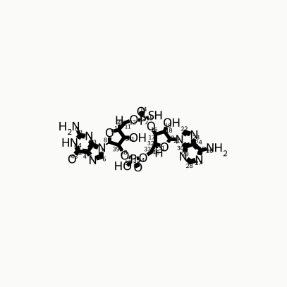 Nc1nc2c(ncn2[C@@H]2O[C@@H]3COP(=O)(S)OC4C(O)C(n5cnc6c(N)ncnc65)O[C@@H]4COP(=O)(O)OC2C3O)c(=O)[nH]1